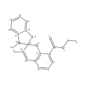 CCOC(=O)c1cccc2c1OC1(Sc3ccccc3N1C)C(C)=C2